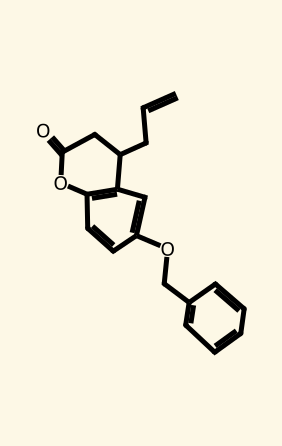 C=CCC1CC(=O)Oc2ccc(OCc3ccccc3)cc21